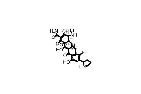 CCN[C@@H]1C(O)=C(C(N)=O)C(=O)[C@@]2(O)C(O)=C3C(=O)c4c(O)cc(C5CCCN5)c(F)c4C[C@H]3C[C@@H]12